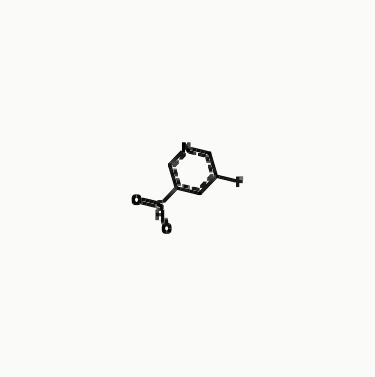 O=[SH](=O)c1cncc(F)c1